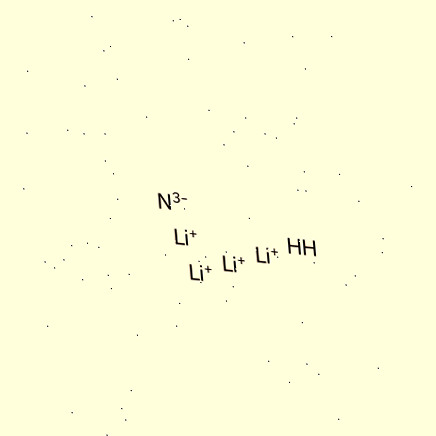 [HH].[Li+].[Li+].[Li+].[Li+].[N-3]